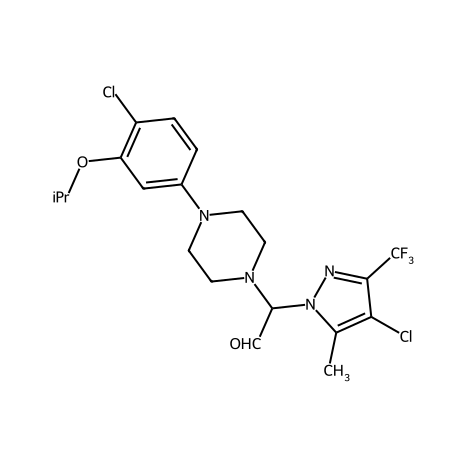 Cc1c(Cl)c(C(F)(F)F)nn1C(C=O)N1CCN(c2ccc(Cl)c(OC(C)C)c2)CC1